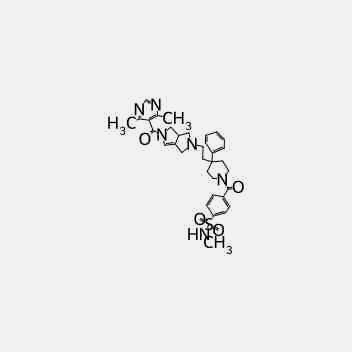 CNS(=O)(=O)c1ccc(C(=O)N2CCC(CCN3CC4=CN(C(=O)c5c(C)ncnc5C)CC4C3)(c3ccccc3)CC2)cc1